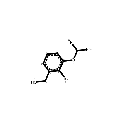 CCc1c(CO)cccc1OC(F)F